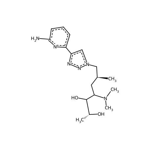 C[C@@H](CC(C(O)[C@@H](C)O)N(C)C)Cn1cc(-c2cccc(N)n2)nn1